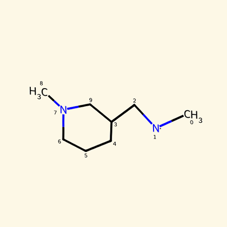 C[N]CC1CCCN(C)C1